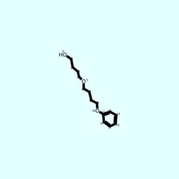 OCCCCOCCCCOc1ccccc1